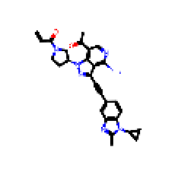 C=CC(=O)N1CC[C@H](n2nc(C#Cc3ccc4c(c3)nc(C)n4C3CC3)c3c(N)ncc(C(C)=O)c32)C1